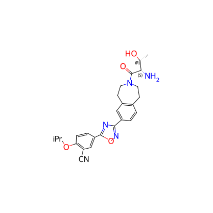 CC(C)Oc1ccc(-c2nc(-c3ccc4c(c3)CCN(C(=O)[C@@H](N)[C@@H](C)O)CC4)no2)cc1C#N